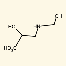 O=C(O)C(O)CNCO